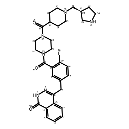 O=C(c1cc(Cc2n[nH]c(=O)c3ccccc23)ccc1F)N1CCN(C(=O)C2CCN(C[C@H]3CCNC3)CC2)CC1